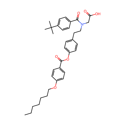 CCCCCCCOc1ccc(C(=O)Oc2ccc(CCN(CC(=O)O)C(=O)c3ccc(C(C)(C)C)cc3)cc2)cc1